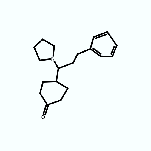 O=C1CCC(C(CCc2ccccc2)N2CCCC2)CC1